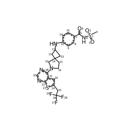 CS(=O)(=O)NC(=O)c1ccc(NC2CC3(CCN(c4ncnc5sc(CC(F)(F)F)cc45)C3)C2)cc1